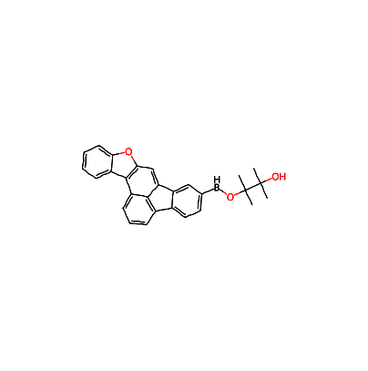 CC(C)(O)C(C)(C)OBc1ccc2c(c1)-c1cc3oc4ccccc4c3c3cccc-2c13